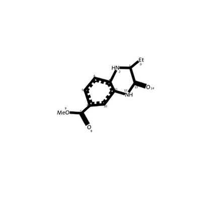 CCC1Nc2ccc(C(=O)OC)cc2NC1=O